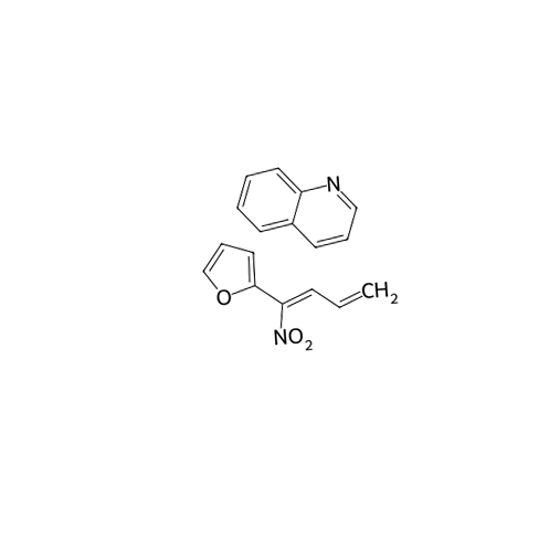 C=CC=C(c1ccco1)[N+](=O)[O-].c1ccc2ncccc2c1